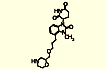 Cn1c(=O)n(C2CCC(=O)NC2=O)c2cccc(CCCOC[C@@H]3CNCCO3)c21